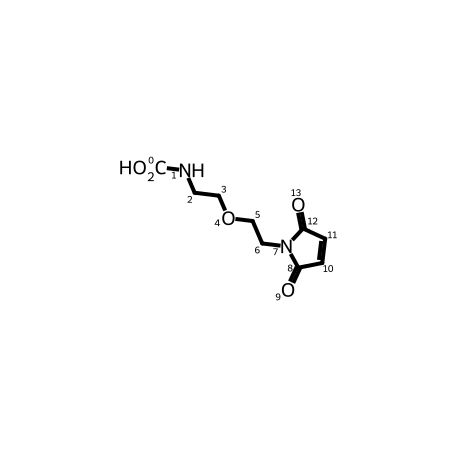 O=C(O)NCCOCCN1C(=O)C=CC1=O